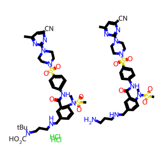 Cc1cc(C#N)nc(N2CCN(S(=O)(=O)c3ccc(NC(=O)c4cc(CNCCCN(C(=O)O)C(C)(C)C)ccc4N(C)S(C)(=O)=O)cc3)CC2)n1.Cc1cc(C#N)nc(N2CCN(S(=O)(=O)c3ccc(NC(=O)c4cc(CNCCCN)ccc4N(C)S(C)(=O)=O)cc3)CC2)n1.Cl.Cl